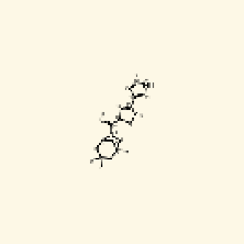 CC1(C)CC2CC(C)(CN2C(=O)C2C=C(c3cn[nH]c3)SC2)C1